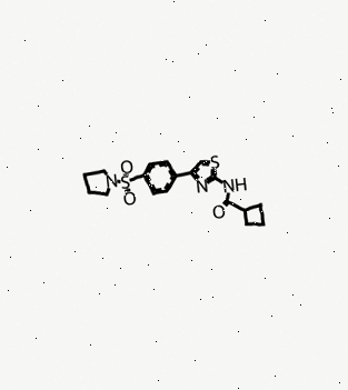 O=C(Nc1nc(-c2ccc(S(=O)(=O)N3CCCC3)cc2)cs1)C1CCC1